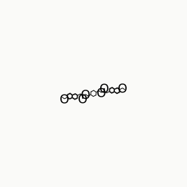 COc1ccc2cc(CC(=O)OCC3CCC(COC(=O)Cc4ccc5cc(OC)ccc5c4)CC3)ccc2c1